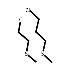 CSCCCCl.CSCCCl